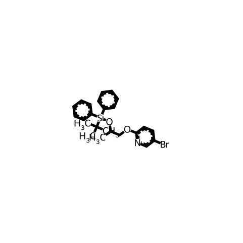 CC(COc1ccc(Br)cn1)O[Si](c1ccccc1)(c1ccccc1)C(C)(C)C